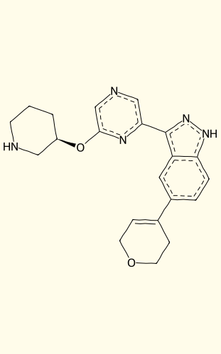 C1=C(c2ccc3[nH]nc(-c4cncc(O[C@@H]5CCCNC5)n4)c3c2)CCOC1